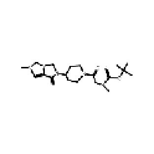 CN1C=C2C(=O)N(C3CCN(C(=O)CN(C)C(=O)OC(C)(C)C)CC3)CN2C1